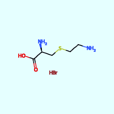 Br.NCCSC[C@H](N)C(=O)O